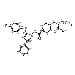 CCN(CC1CCN(C(=O)Cn2nc(-c3ccncc3)cc2Cc2ccc(F)cc2)CC1)C(=O)O